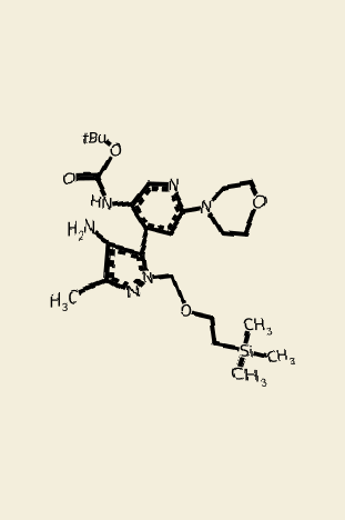 Cc1nn(COCC[Si](C)(C)C)c(-c2cc(N3CCOCC3)ncc2NC(=O)OC(C)(C)C)c1N